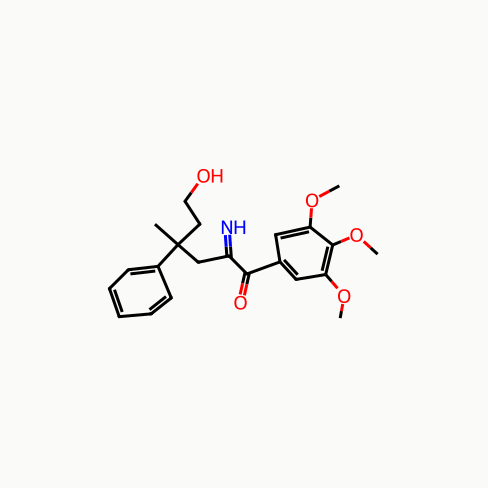 COc1cc(C(=O)C(=N)CC(C)(CCO)c2ccccc2)cc(OC)c1OC